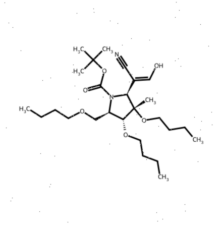 CCCCOC[C@@H]1[C@@H](OCCCC)[C@@](C)(OCCCC)[C@H](/C(C#N)=C/O)N1C(=O)OC(C)(C)C